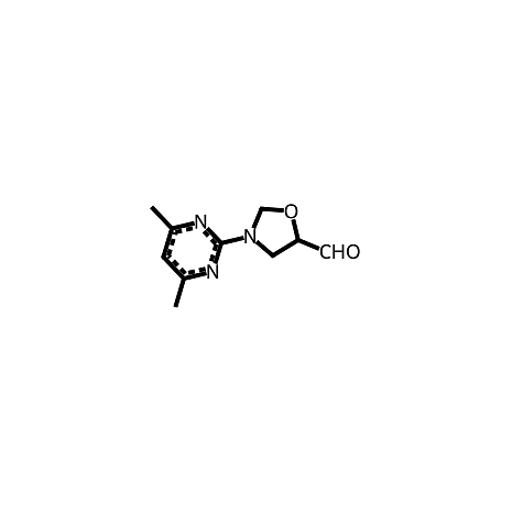 Cc1cc(C)nc(N2COC(C=O)C2)n1